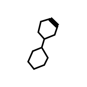 C1#CCC(C2CCCCC2)CC1